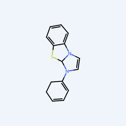 C1=CCCC(N2C=CN3c4ccccc4SC23)=C1